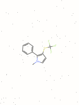 Cn1ccc(SC(F)(F)F)c1-c1ccccc1